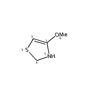 COC1=[C]SCN1